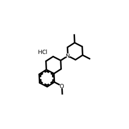 COc1cccc2c1CC(N1CC(C)CC(C)C1)CC2.Cl